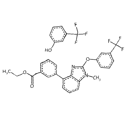 CCOC(=O)c1cccc(-c2cccc3c2nc(Oc2cccc(C(F)(F)F)c2)n3C)c1.Oc1cccc(C(F)(F)F)c1